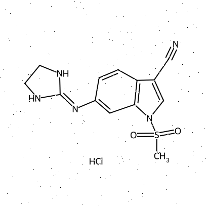 CS(=O)(=O)n1cc(C#N)c2ccc(N=C3NCCN3)cc21.Cl